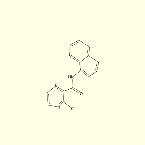 O=C(Nc1cccc2ccccc12)c1nccnc1Cl